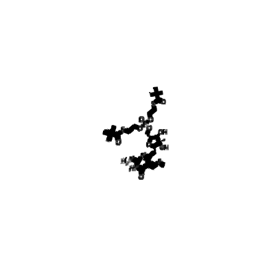 CS/C=c1/c(=O)[nH]c(N)n/c1=C\[C@@H]1O[C@H](COP(=O)(OCCSC(=O)C(C)(C)C)OCCSC(=O)C(C)(C)C)[C@@H](O)[C@@]1(C)O